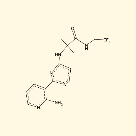 CC(C)(Nc1ccnc(-c2cccnc2N)n1)C(=O)NCC(F)(F)F